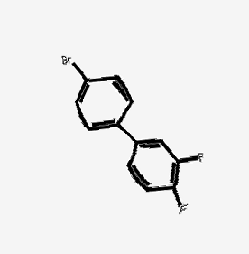 Fc1ccc(-c2ccc(Br)cc2)cc1F